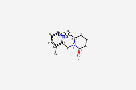 CCOC(=O)[C@H]1CCCC(=O)N1Cc1ncccc1C